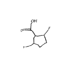 O=C(O)C1C(F)CCC1F